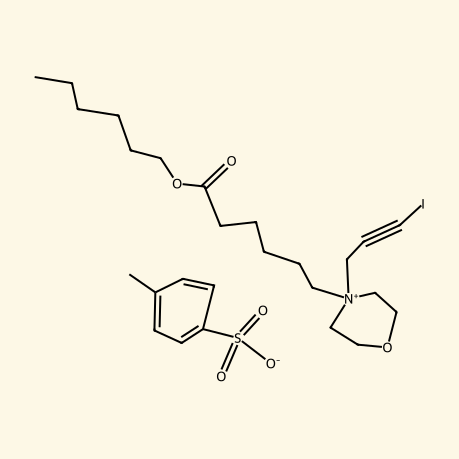 CCCCCCOC(=O)CCCCC[N+]1(CC#CI)CCOCC1.Cc1ccc(S(=O)(=O)[O-])cc1